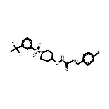 O=C(NCc1ccc(F)cc1)NOC1CCN(S(=O)(=O)c2cccc(C(F)(F)F)c2)CC1